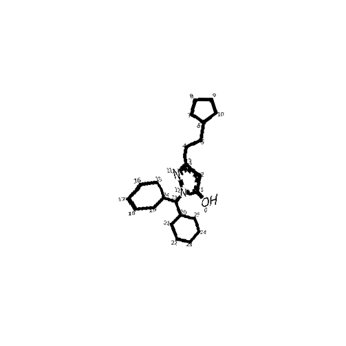 Oc1cc(CCC2CCCC2)nn1C(C1CCCCC1)C1CCCCC1